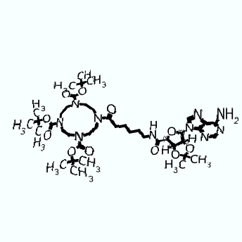 CC(C)(C)OC(=O)N1CCN(C(=O)CCCCCNC(=O)[C@H]2O[C@@H](n3cnc4c(N)ncnc43)[C@@H]3OC(C)(C)O[C@@H]32)CCN(C(=O)OC(C)(C)C)CCN(C(=O)OC(C)(C)C)CC1